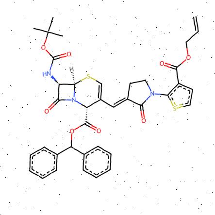 C=CCOC(=O)c1ccsc1N1CCC(=CC2=CS[C@@H]3[C@H](NC(=O)OC(C)(C)C)C(=O)N3[C@H]2C(=O)OC(c2ccccc2)c2ccccc2)C1=O